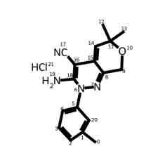 Cc1cccc(N2N=C3COC(C)(C)C=C3C(C#N)=C2N)c1.Cl